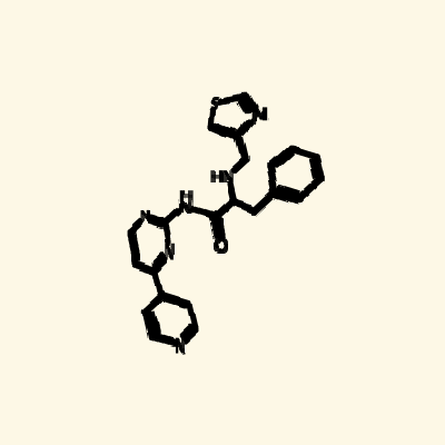 O=C(Nc1nccc(-c2ccncc2)n1)C(Cc1ccccc1)NCc1cscn1